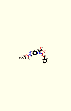 CC(C)(C)OC(=O)NC[C@H]1CC[C@H](C=C(NC(=O)OCc2ccccc2)C(=O)O)CC1